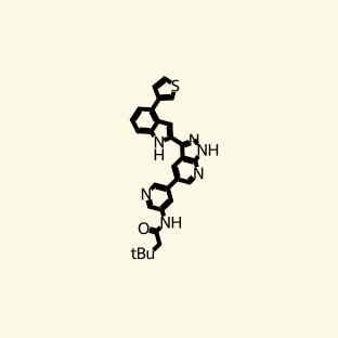 CC(C)(C)CC(=O)Nc1cncc(-c2cnc3[nH]nc(-c4cc5c(-c6ccsc6)cccc5[nH]4)c3c2)c1